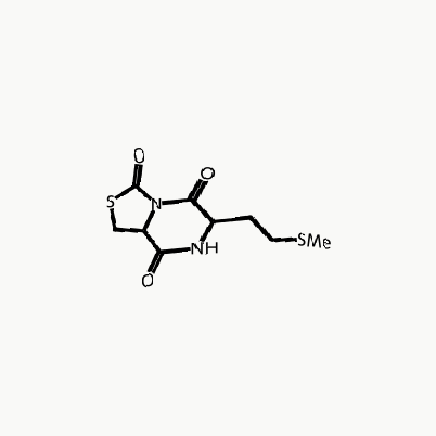 CSCCC1NC(=O)C2CSC(=O)N2C1=O